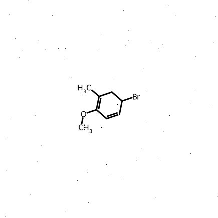 COC1=C(C)CC(Br)C=C1